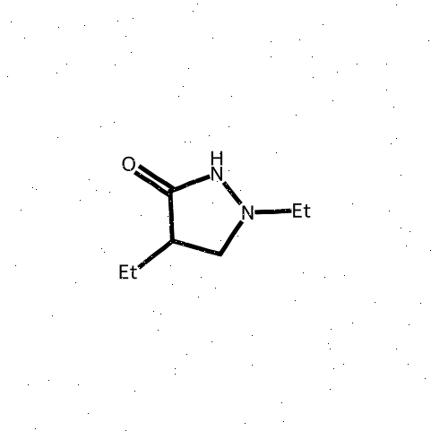 CCC1CN(CC)NC1=O